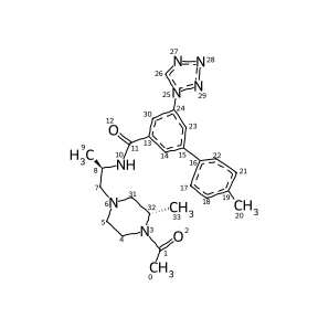 CC(=O)N1CCN(C[C@@H](C)NC(=O)c2cc(-c3ccc(C)cc3)cc(-n3cnnn3)c2)C[C@@H]1C